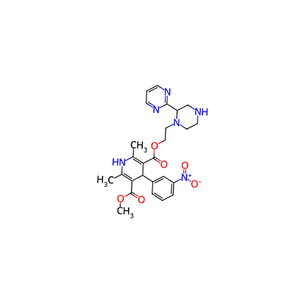 COC(=O)C1=C(C)NC(C)=C(C(=O)OCCN2CCNCC2c2ncccn2)C1c1cccc([N+](=O)[O-])c1